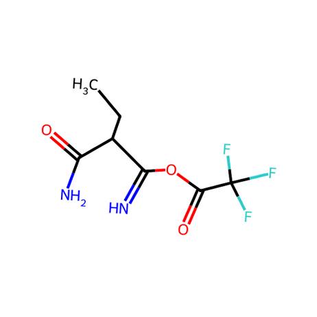 CCC(C(=N)OC(=O)C(F)(F)F)C(N)=O